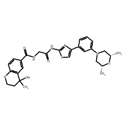 C[C@@H]1CN(c2cccc(-c3csc(NC(=O)CNC(=O)c4ccc5c(c4)C(C)(O)CCO5)n3)c2)C[C@H](C)O1